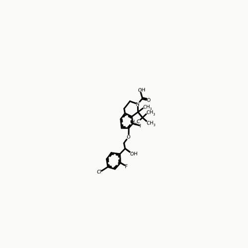 CC(C)(C)C1(C)c2c(ccc(OCC(O)c3ccc(Cl)cc3F)c2I)CCN1C(=O)O